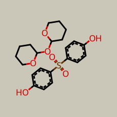 C1CCC(OC2CCCCO2)OC1.O=S(=O)(c1ccc(O)cc1)c1ccc(O)cc1